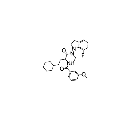 CCN(C(=O)C(CCC1CCCCC1)NC(=O)c1cccc(OC)c1)N1CCc2cccc(F)c21